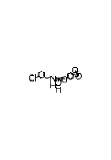 CS(=O)(=O)c1ccc(OC[C@H](O)CNCCc2cccc(Cl)c2)cc1